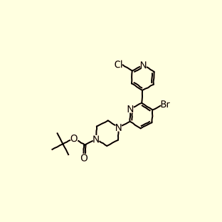 CC(C)(C)OC(=O)N1CCN(c2ccc(Br)c(-c3ccnc(Cl)c3)n2)CC1